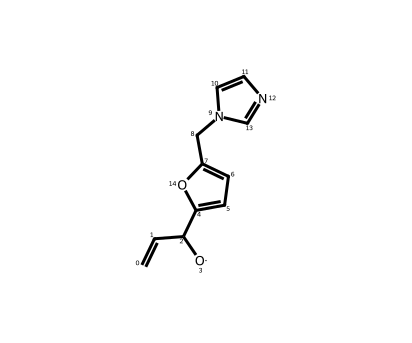 C=CC([O])c1ccc(Cn2ccnc2)o1